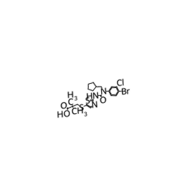 CC(C)(CSc1cnc(NC(=O)N(CC2CCCC2)c2ccc(Br)c(Cl)c2)s1)C(=O)O